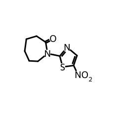 O=C1CCCCCN1c1ncc([N+](=O)[O-])s1